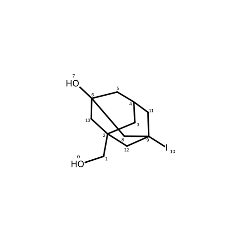 OCC12CC3CC(O)(CC(I)(C3)C1)C2